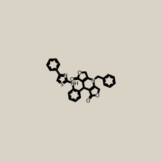 O=C1OCC2=C1C(c1ccccc1Nc1nc(-c3ccccc3)cs1)C1=C(COC1=O)N2Cc1ccccc1